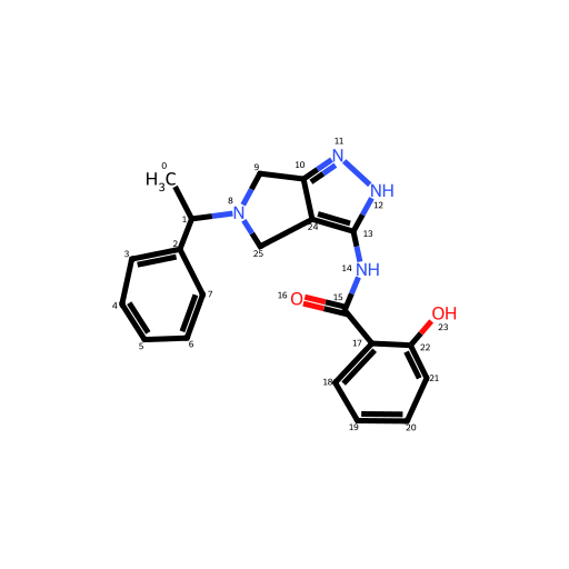 CC(c1ccccc1)N1Cc2n[nH]c(NC(=O)c3ccccc3O)c2C1